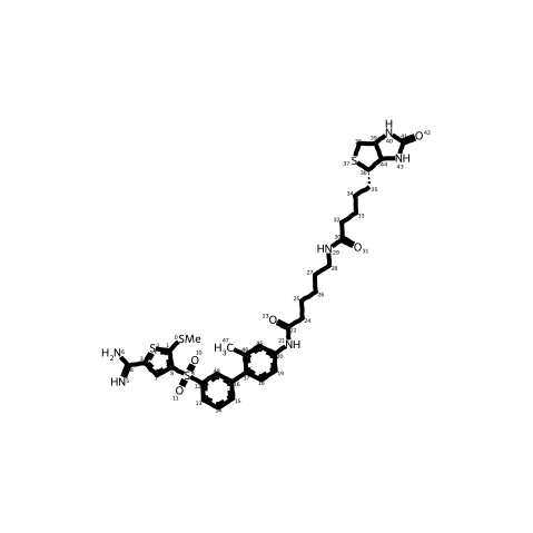 CSc1sc(C(=N)N)cc1S(=O)(=O)c1cccc(-c2ccc(NC(=O)CCCCCNC(=O)CCCC[C@@H]3SCC4NC(=O)NC43)cc2C)c1